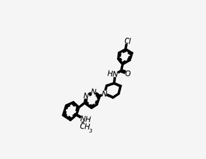 CNc1ccccc1-c1ccc(N2CCCC(NC(=O)c3ccc(Cl)cc3)C2)nn1